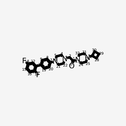 O=C(CN1CCN(c2ccc(-c3cc(F)ccc3F)cc2)CC1)N1CCN(C2CCC2)CC1